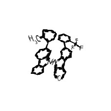 Cc1ccccc1-c1ccc2c3ccccc3n(-n3c4ccccc4c4ccc(-c5ccccc5C(F)(F)F)cc43)c2c1